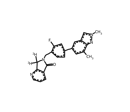 [2H]C1([2H])c2ncccc2C(=O)N1Cc1ccc(-c2cc(C)c3nn(C)cc3c2)cc1F